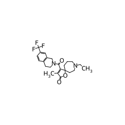 CCN1CCCC2(CC1)OC(=O)C(C)=C2C(=O)N1CCc2ccc(C(F)(F)F)cc2C1